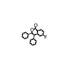 O=c1oc(-c2ccccc2)c(-c2ccccc2)c2cc(F)ccc12